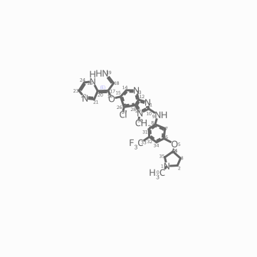 CN1CC[C@@H](Oc2cc(Nc3nc4ncc(O/C(C=N)=C5\C=NC=CN5)c(Cl)c4n3C)cc(C(F)(F)F)c2)C1